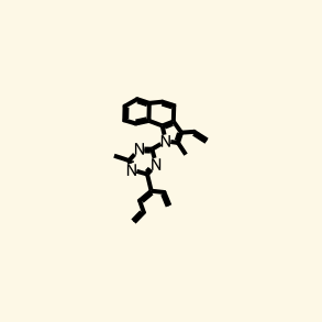 C=C/C=C(\C=C)c1nc(C)nc(-n2c(C)c(C=C)c3ccc4ccccc4c32)n1